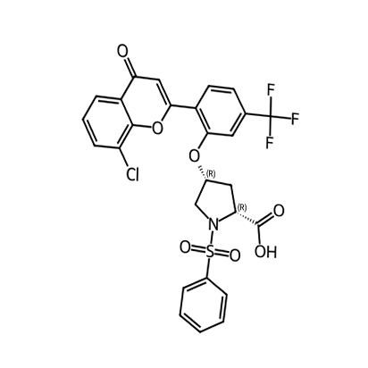 O=C(O)[C@H]1C[C@@H](Oc2cc(C(F)(F)F)ccc2-c2cc(=O)c3cccc(Cl)c3o2)CN1S(=O)(=O)c1ccccc1